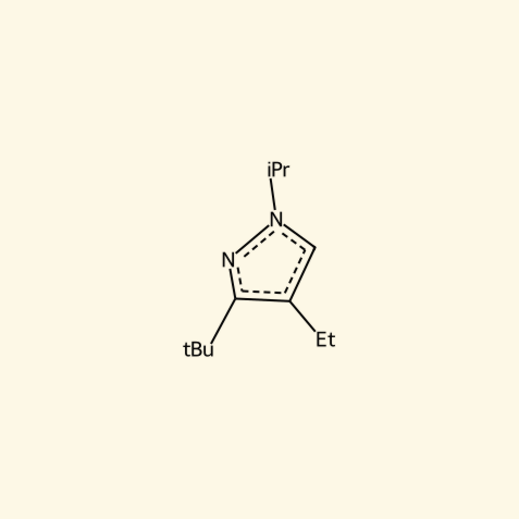 CCc1cn(C(C)C)nc1C(C)(C)C